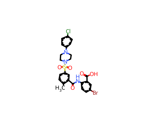 Cc1ccc(S(=O)(=O)N2CCN(c3ccc(Cl)cc3)CC2)cc1C(=O)Nc1ccc(Br)cc1C(=O)O